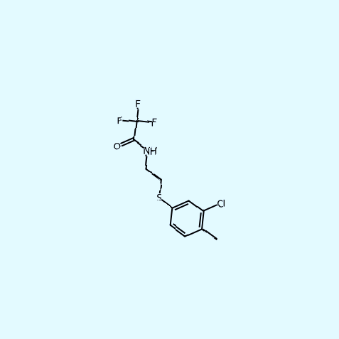 Cc1ccc(SCCNC(=O)C(F)(F)F)cc1Cl